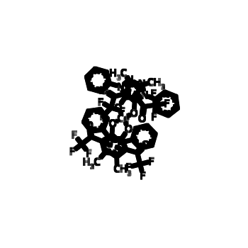 Cc1nn(-c2ccccc2)c([O][Ce]([O]c2c(C(=O)C(F)(F)F)c(C)nn2-c2ccccc2)([O]c2c(C(=O)C(F)(F)F)c(C)nn2-c2ccccc2)[O]c2c(C(=O)C(F)(F)F)c(C)nn2-c2ccccc2)c1C(=O)C(F)(F)F